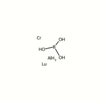 OB(O)O.[AlH3].[Cr].[Lu]